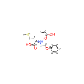 C=CC(=O)O.CSCC[C@H](NCCOc1ccccc1)C(=O)O